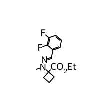 CCOC(=O)C1(N(C)N=Cc2cccc(F)c2F)CCC1